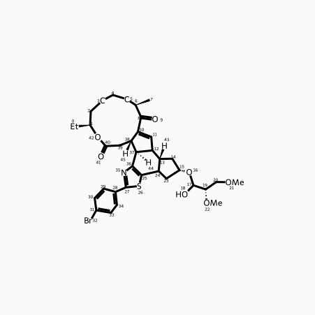 CC[C@H]1CCCC[C@@H](C)C(=O)C2=CC3[C@@H]4C[C@H](OC(O)[C@H](COC)OC)CC4c4sc(-c5ccc(Br)cc5)nc4[C@H]3[C@@H]2CC(=O)O1